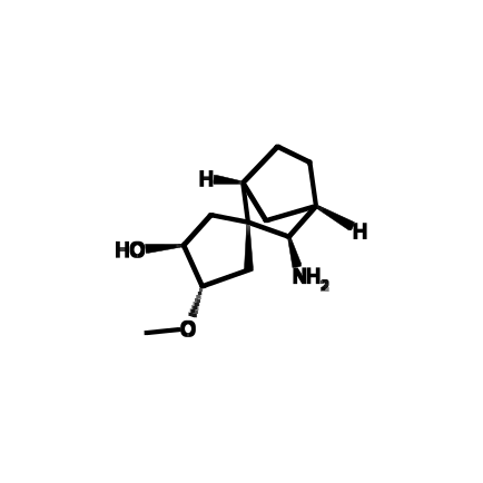 CO[C@H]1C[C@@]2(C[C@@H]1O)[C@@H]1CC[C@@H](C1)[C@H]2N